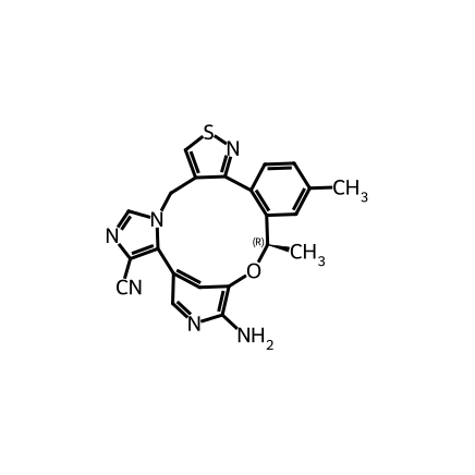 Cc1ccc2c(c1)[C@@H](C)Oc1cc(cnc1N)-c1c(C#N)ncn1Cc1csnc1-2